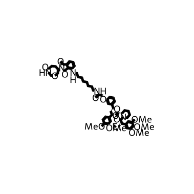 CC[C@H](C(=O)N1CCCC[C@H]1C(=O)O[C@H](CCc1ccc(OC)c(OC)c1)c1cccc(OCC(=O)NCCCCCCCCNc2cccc3c2C(=O)N(C2CCC(=O)NCOC2)C3=O)c1)c1cc(OC)c(OC)c(OC)c1